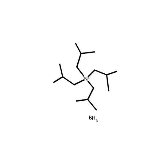 B.CC(C)C[N+](CC(C)C)(CC(C)C)CC(C)C